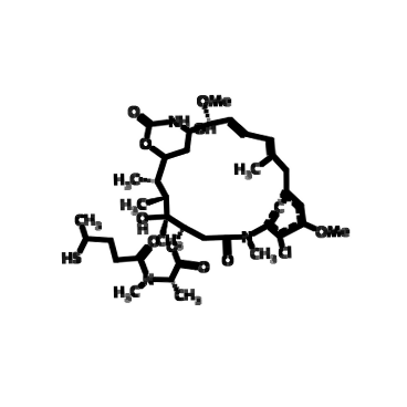 COc1cc2cc(c1Cl)N(C)C(=O)C[C@H](OC(=O)[C@H](C)N(C)C(=O)CCC(C)S)[C@](C)(O)[C@@H](C)[C@H](C)C1C[C@@](O)(NC(=O)O1)[C@H](OC)/C=C/C=C(\C)C2